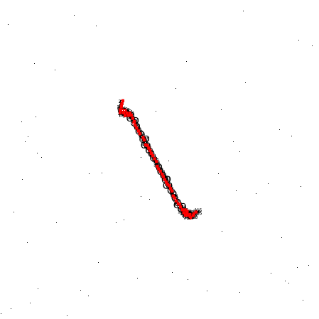 CC(C)CCC[C@@H](C)[C@H]1CC[C@H]2[C@@H]3CC=C4C[C@@H](OC(=O)CCC(=O)OCCOCCOCCOCCOC(=O)CCC(=O)OCCOCCOCCOCCSSCCOCCOCCOCCOC(=O)CCC(=O)OCCOCCOCCOCCOC(=O)CCC(=O)O[C@H]5CC[C@@]6(C)C(=CC[C@H]7[C@@H]8CC[C@H]([C@H](C)CCCC(C)C)[C@@]8(C)CC[C@@H]76)C5)CC[C@]4(C)[C@H]3CC[C@]12C